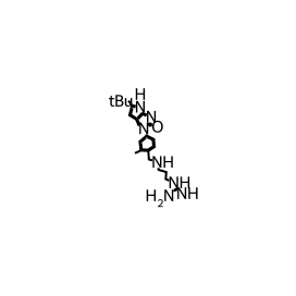 Cc1cc(-n2cc3cc(C(C)(C)C)[nH]c3nc2=O)ccc1CNCCCNC(=N)N